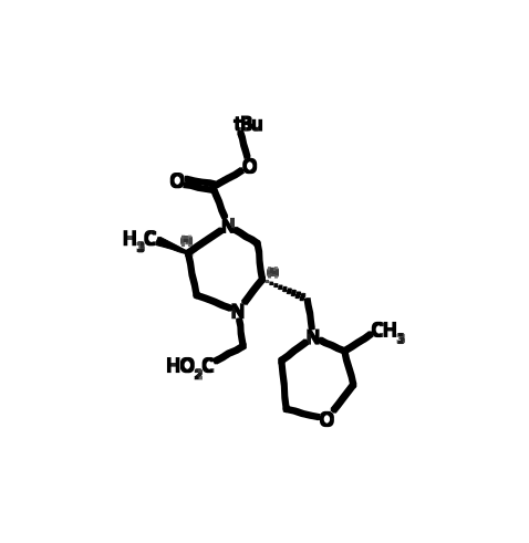 CC1COCCN1C[C@H]1CN(C(=O)OC(C)(C)C)[C@H](C)CN1CC(=O)O